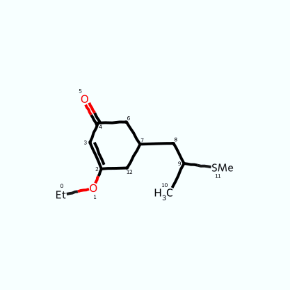 CCOC1=CC(=O)CC(CC(C)SC)C1